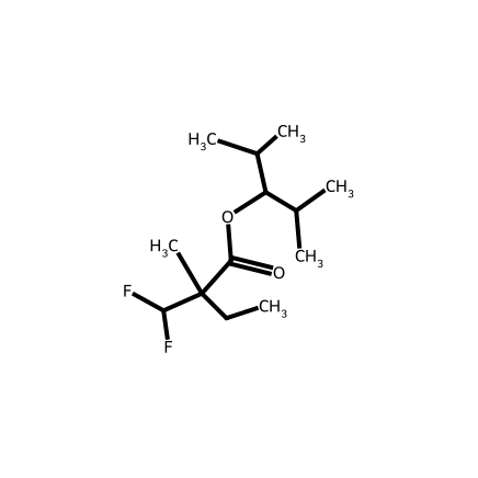 CCC(C)(C(=O)OC(C(C)C)C(C)C)C(F)F